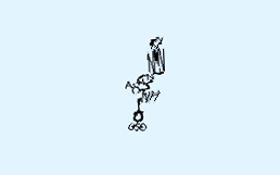 CC(=O)N1CCN(c2ccnc(-n3ccnc3)n2)CC1CC(=O)NCc1ccc(S(C)(=O)=O)cc1